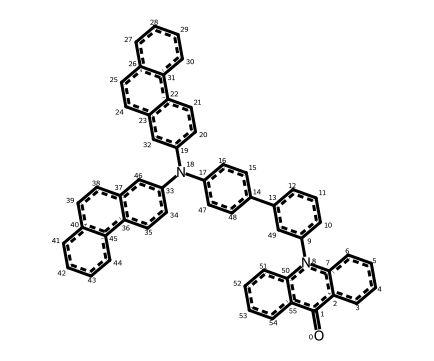 O=c1c2ccccc2n(-c2cccc(-c3ccc(N(c4ccc5c(ccc6ccccc65)c4)c4ccc5c(ccc6ccccc65)c4)cc3)c2)c2ccccc12